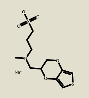 CN(CCCS(=O)(=O)[O-])CC1COc2cscc2O1.[Na+]